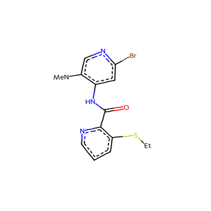 CCSc1cccnc1C(=O)Nc1cc(Br)ncc1NC